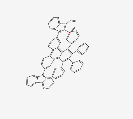 C=Cc1c(C=C)n(-c2ccc3c4ccc(-n5c6ccccc6c6ccccc65)cc4c4c(-c5ccccc5)c(-c5ccccc5)c(-c5ccccc5)c(-c5ccccc5)c4c3c2)c2ccccc12